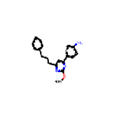 CCCCCCOc1nc(CCCc2ccccc2)cc(-c2ccc(N)cc2)n1